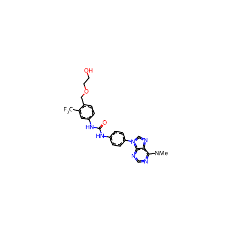 CNc1ncnc2c1ncn2-c1ccc(NC(=O)Nc2ccc(COCCO)c(C(F)(F)F)c2)cc1